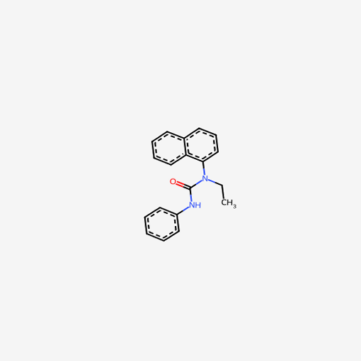 CCN(C(=O)Nc1ccccc1)c1cccc2ccccc12